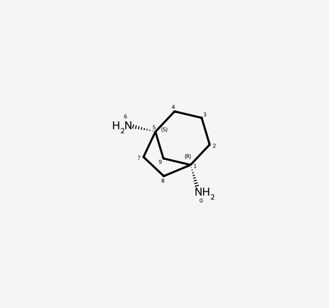 N[C@]12CCC[C@](N)(CC1)C2